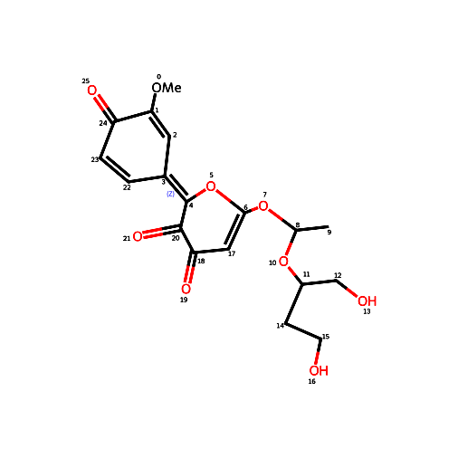 COC1=C/C(=C2\OC(OC(C)OC(CO)CCO)=CC(=O)C2=O)C=CC1=O